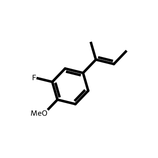 C/C=C(\C)c1ccc(OC)c(F)c1